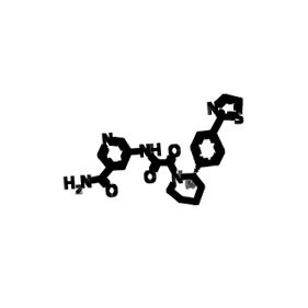 NC(=O)c1cncc(NC(=O)C(=O)N2CCCC[C@H]2c2ccc(-c3nccs3)cc2)c1